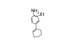 CCc1cc(C2=CCCCC2)ccc1N